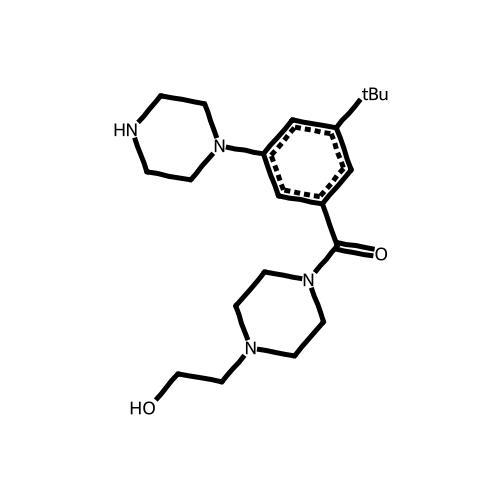 CC(C)(C)c1cc(C(=O)N2CCN(CCO)CC2)cc(N2CCNCC2)c1